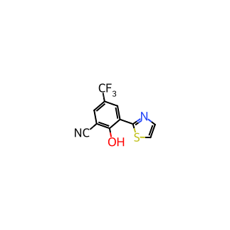 N#Cc1cc(C(F)(F)F)cc(-c2nccs2)c1O